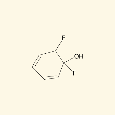 OC1(F)C=CC=CC1F